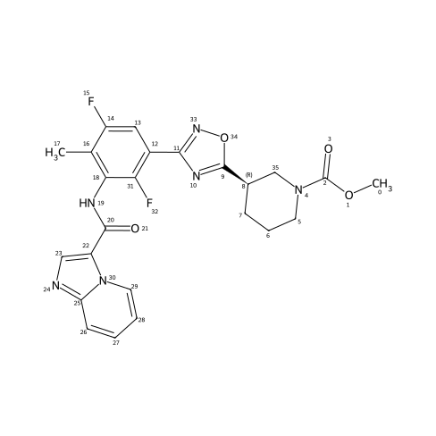 COC(=O)N1CCC[C@@H](c2nc(-c3cc(F)c(C)c(NC(=O)c4cnc5ccccn45)c3F)no2)C1